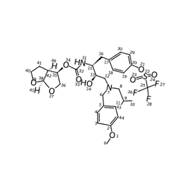 COc1ccc(CN(CC(C)C)C[C@@H](O)[C@H](Cc2ccc(OS(=O)(=O)C(F)(F)F)cc2)NC(=O)O[C@H]2CO[C@H]3OCC[C@H]32)cc1